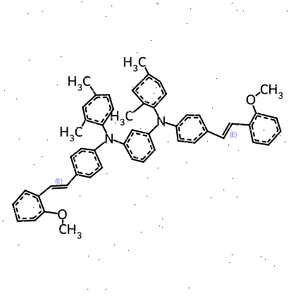 COc1ccccc1/C=C/c1ccc(N(c2cccc(N(c3ccc(/C=C/c4ccccc4OC)cc3)c3ccc(C)cc3C)c2)c2ccc(C)cc2C)cc1